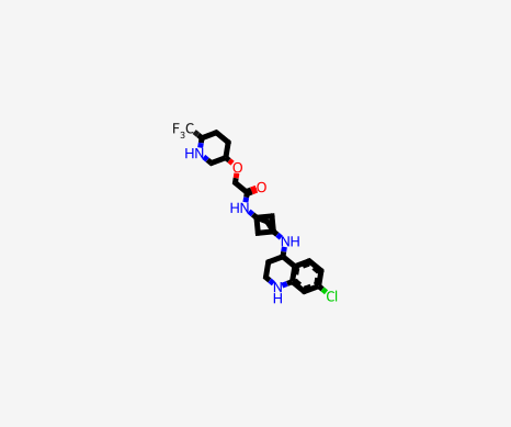 O=C(COC1CCC(C(F)(F)F)NC1)NC12CC(NC3CCNc4cc(Cl)ccc43)(C1)C2